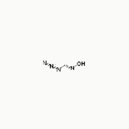 [N-]=[N+]=NC=NO